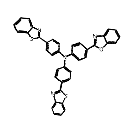 c1ccc2oc(-c3ccc(N(c4ccc(-c5nc6ccccc6s5)cc4)c4ccc(-c5nc6ccccc6s5)cc4)cc3)nc2c1